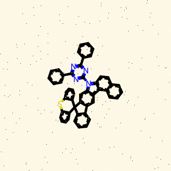 c1ccc(-c2nc(-c3ccccc3)nc(-n3c4cc5c(cc4c4c6ccccc6ccc43)-c3ccccc3C53c4ccccc4Sc4ccccc43)n2)cc1